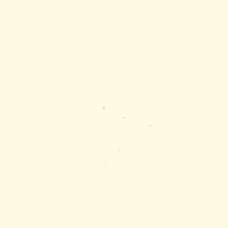 O=C1C2CC3CC1C(OC1CCCCO1)(C3)C2